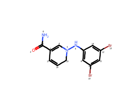 NC(=O)C1=CN(Nc2cc(Br)cc(Br)c2)CC=C1